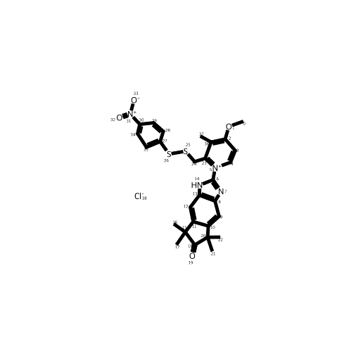 COc1cc[n+](-c2nc3cc4c(cc3[nH]2)C(C)(C)C(=O)C4(C)C)c(CSSc2ccc([N+](=O)[O-])cc2)c1C.[Cl-]